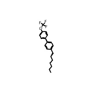 CCCCCCCc1ccc(-c2ccc(OC(F)(F)F)cc2)cc1